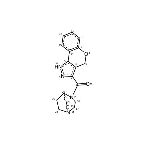 O=C(c1n[nH]c2c1COc1ccccc1-2)N1CCN2CCC1CC2